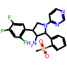 CS(=O)(=O)c1ccccc1C1C(N)C(c2cc(F)c(F)cc2F)CN1c1ccncn1